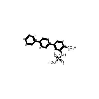 CCCCCCCCS(=O)(=O)Nc1cc(-c2ccc(-c3ccccc3)cc2)ccc1C(=O)O